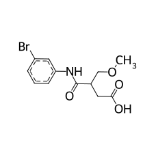 COCC(CC(=O)O)C(=O)Nc1cccc(Br)c1